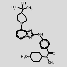 CN1CCC(N(C)C(=O)c2ccc(Nc3nc4c(N5CCC(C(C)(C)O)CC5)cccn4n3)cc2)CC1